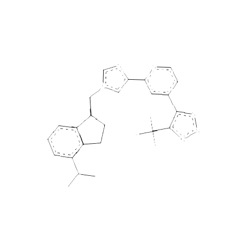 CC(C)c1cccc2c1CCC2Cn1cnc(-c2cc(-c3nn[nH]c3C(F)(F)F)ccn2)c1